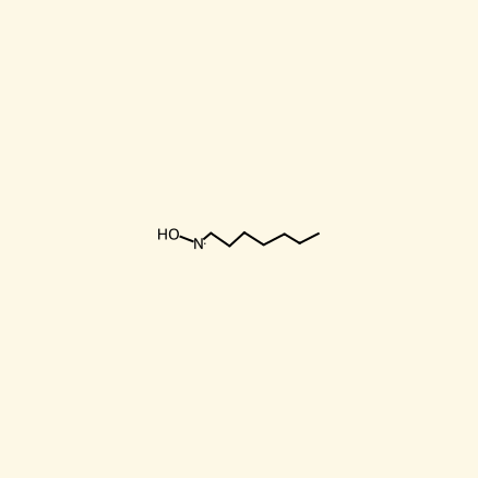 CCCCCCC[N]O